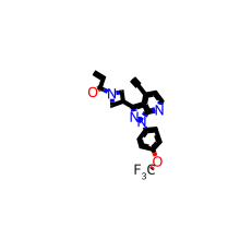 C#Cc1ccnc2c1c(C1CN(C(=O)C=C)C1)nn2-c1ccc(OC(F)(F)F)cc1